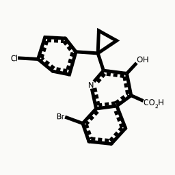 O=C(O)c1c(O)c(C2(c3ccc(Cl)cc3)CC2)nc2c(Br)cccc12